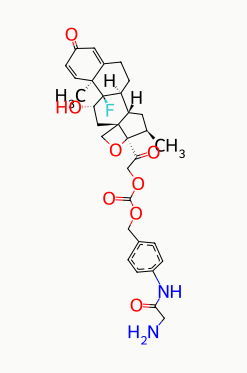 C[C@@H]1C[C@H]2[C@@H]3CCC4=CC(=O)C=C[C@]4(C)[C@@]3(F)[C@@H](O)C[C@@]23CO[C@]13C(=O)COC(=O)OCc1ccc(NC(=O)CN)cc1